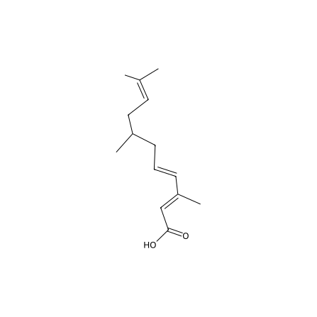 CC(C)=CCC(C)CC=CC(C)=CC(=O)O